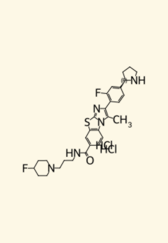 Cc1c(-c2ccc([C@H]3CCCN3)cc2F)nc2sc3cc(C(=O)NCCCN4CCC(F)CC4)ccc3n12.Cl.Cl